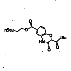 CCCCCCCCCCCCOC(=O)c1ccc2c(c1)NC(=O)C(C(=O)C(C)(C)C)O2